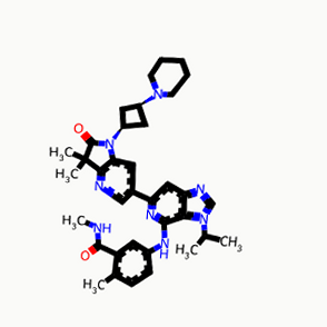 CNC(=O)c1cc(Nc2nc(-c3cnc4c(c3)N([C@H]3C[C@@H](N5CCCCC5)C3)C(=O)C4(C)C)cc3ncn(C(C)C)c23)ccc1C